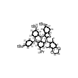 Cc1cc2c(c(C)c1N1c3cc(C(C)C)cc4c3B(c3cc(C(C)(C)C)ccc3N4c3ccc(C(C)(C)C)cc3)c3c1sc1ccc(C(C)(C)C)cc31)OCCO2